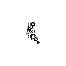 CN1C(=O)[C@@H](NC(=O)c2nn[nH]c2Cc2ccccc2)CCn2nc(C3CC3)cc21